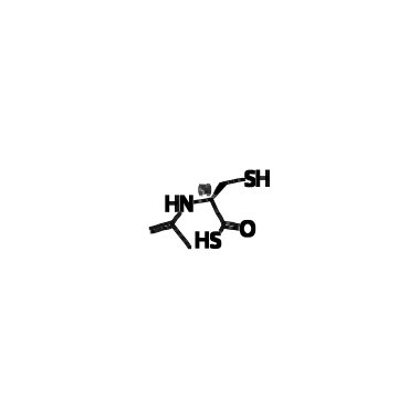 C=C(C)N[C@@H](CS)C(=O)S